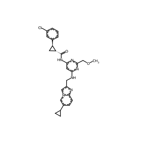 COCc1nc(NCc2cn3cc(C4CC4)ccc3n2)cc(NC(=O)[C@@H]2C[C@H]2c2cccc(Cl)c2)n1